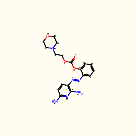 Nc1ccc(/N=N/c2ccccc2OC(=O)OCCN2CCOCC2)c(N)n1